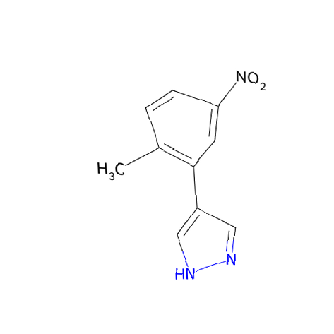 Cc1ccc([N+](=O)[O-])cc1-c1cn[nH]c1